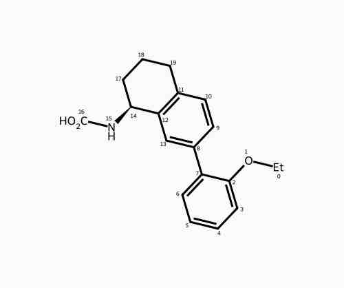 CCOc1ccccc1-c1ccc2c(c1)[C@@H](NC(=O)O)CCC2